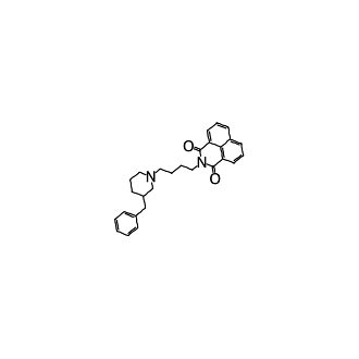 O=C1c2cccc3cccc(c23)C(=O)N1CCCCN1CCCC(Cc2ccccc2)C1